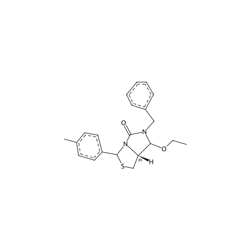 CCOC1[C@@H]2CSC(c3ccc(C)cc3)N2C(=O)N1Cc1ccccc1